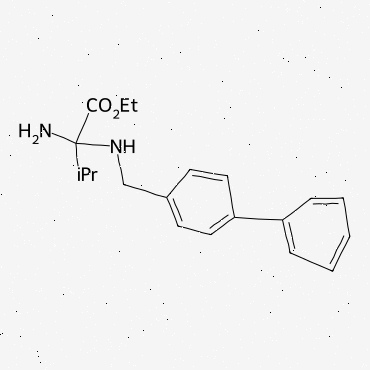 CCOC(=O)C(N)(NCc1ccc(-c2ccccc2)cc1)C(C)C